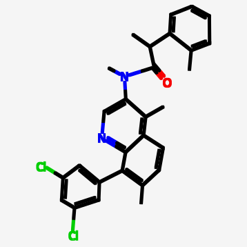 Cc1ccccc1C(C)C(=O)N(C)c1cnc2c(-c3cc(Cl)cc(Cl)c3)c(C)ccc2c1C